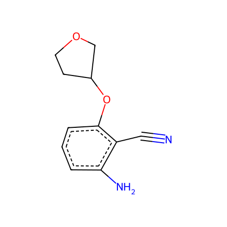 N#Cc1c(N)cccc1OC1CCOC1